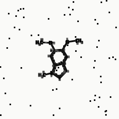 COc1cc2ccn(C)c2cc1OC